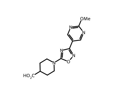 COc1ncc(-c2noc(N3CCC(C(=O)O)CC3)n2)cn1